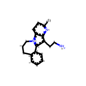 CCc1ccc2c(n1)c(CCN)c1n2CCCc2ccccc2-1